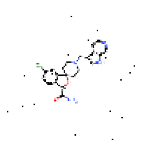 NC(=O)[C@@H]1OC2(CCN(Cc3c[nH]c4cnccc34)CC2)c2cc(Cl)ccc21